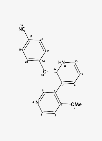 COc1ccncc1C1=CC=CNC1Oc1ccc(C#N)cc1